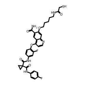 NC(=O)c1cc2c(Oc3ccc(NC(=O)C4(C(=O)Nc5ccc(F)cc5)CC4)cc3F)ccnc2cc1OCCCCCNC(=O)CS